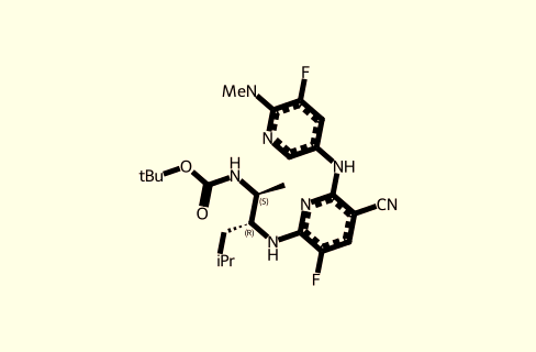 CNc1ncc(Nc2nc(N[C@H](CC(C)C)[C@H](C)NC(=O)OC(C)(C)C)c(F)cc2C#N)cc1F